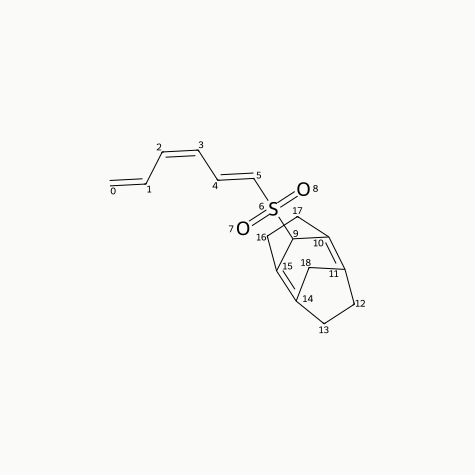 C=C/C=C\C=C\S(=O)(=O)C1C2=C3CCC(=C1CC2)C3